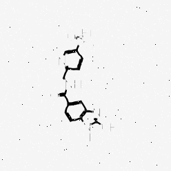 CCS(=O)(=O)c1ccc(CNC(=O)c2ccc3[nH]c(C(F)(F)F)nc3c2)nc1